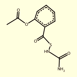 CC(=O)Oc1ccccc1C(=O)SNC(N)=O